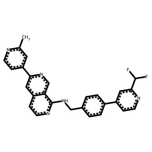 Cc1cc(-c2cc3ccnc(NCc4ccc(-c5ccnc(C(F)F)c5)cc4)c3cn2)ccn1